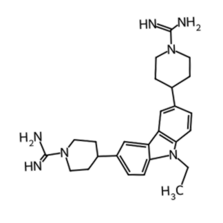 CCn1c2ccc(C3CCN(C(=N)N)CC3)cc2c2cc(C3CCN(C(=N)N)CC3)ccc21